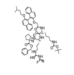 B#P(F)NC(=N)NCCC[C@@H](NC(=O)[C@@H](CCCCNC(=O)OC(C)(C)C)NC(=O)COc1ccc2ccccc2c1-c1c(OCCC(C)C)ccc2ccccc12)C(=O)NC1(C(=O)OCc2ccccc2)CCCC1